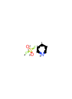 O=S(=O)(F)F.c1ccncc1